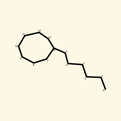 CCCCCCC1C[CH]CCCCC1